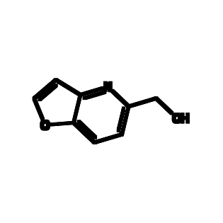 OCc1ccc2occc2n1